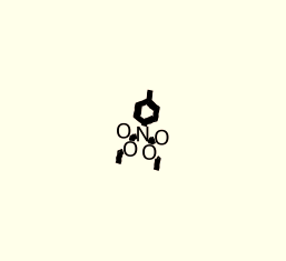 CCOC(=O)N(C(=O)OCC)c1ccc(C)cc1